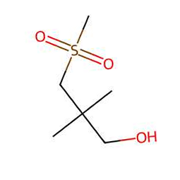 CC(C)(CO)CS(C)(=O)=O